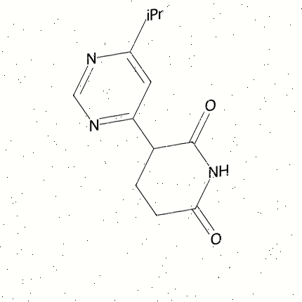 CC(C)c1cc(C2CCC(=O)NC2=O)ncn1